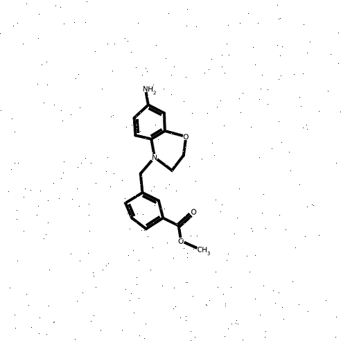 COC(=O)c1cccc(CN2CCOc3cc(N)ccc32)c1